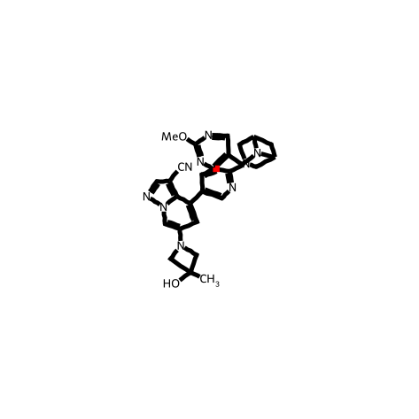 COc1ncc(CN2C3CC2CN(c2ccc(-c4cc(N5CC(C)(O)C5)cn5ncc(C#N)c45)cn2)C3)cn1